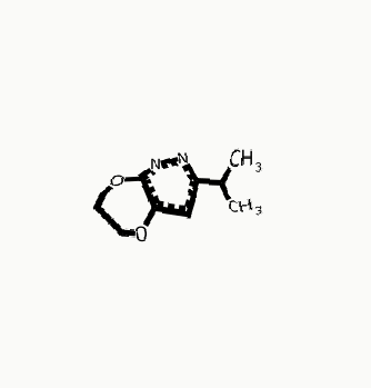 CC(C)c1cc2c(nn1)OCCO2